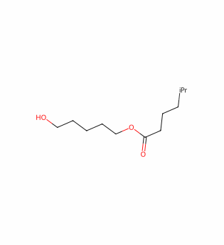 CC(C)CCCC(=O)OCCCCCO